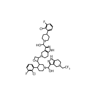 OC(c1n[nH]c2c1CN(C1COC1C1CN(C(O)c3n[nH]c4c3CN(CC(F)(F)F)CC4)CCC1c1cccc(F)c1Cl)CC2)N1CCC(c2cccc(F)c2Cl)CC1